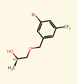 C[C@@H](O)COCc1cc(Br)cc(C(F)(F)F)c1